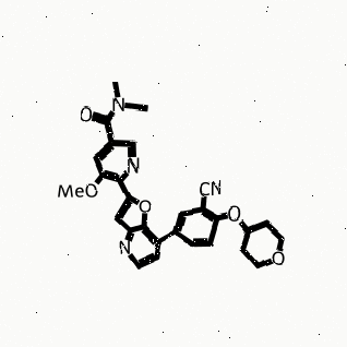 COc1cc(C(=O)N(C)C)cnc1-c1cc2nccc(-c3ccc(OC4CCOCC4)c(C#N)c3)c2o1